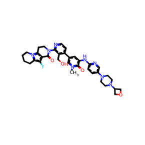 Cn1cc(-c2ccnc(N3CCc4c(c(F)c5n4CCCC5)C3=O)c2CO)cc(Nc2ccc(N3CCN(C4COC4)CC3)cn2)c1=O